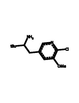 COc1cc(CC(N)C(C)(C)C)cnc1Cl